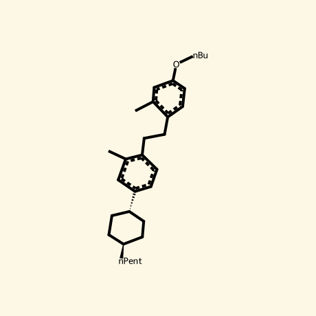 CCCCC[C@H]1CC[C@H](c2ccc(CCc3ccc(OCCCC)cc3C)c(C)c2)CC1